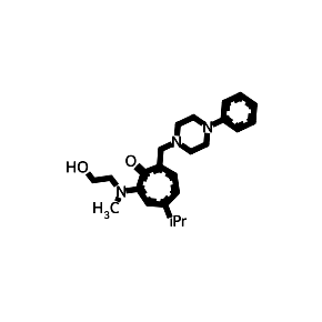 CC(C)c1ccc(CN2CCN(c3ccccc3)CC2)c(=O)c(N(C)CCO)c1